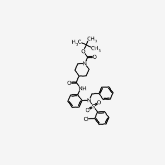 CC(C)(C)OC(=O)N1CCC(C(=O)Nc2ccccc2N(Cc2ccccc2)S(=O)(=O)c2ccccc2Cl)CC1